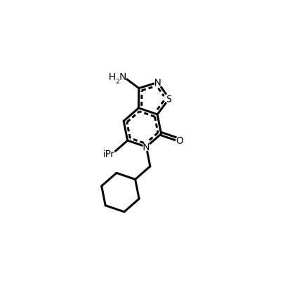 CC(C)c1cc2c(N)nsc2c(=O)n1CC1CCCCC1